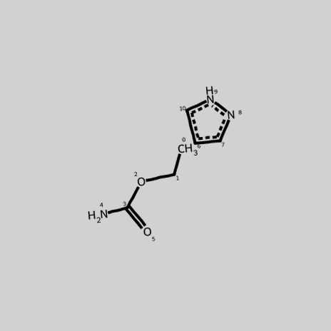 CCOC(N)=O.c1cn[nH]c1